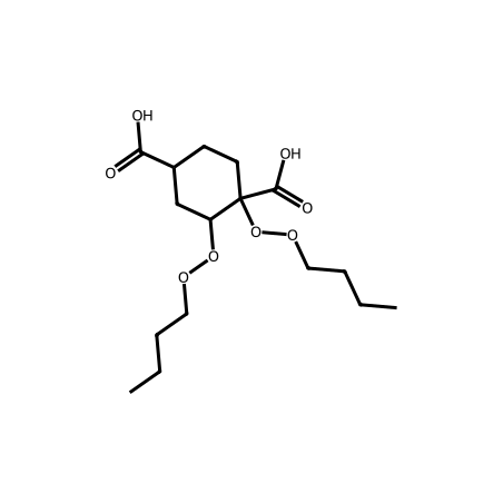 CCCCOOC1CC(C(=O)O)CCC1(OOCCCC)C(=O)O